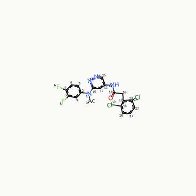 CC(=O)N(c1ccc(F)c(F)c1)c1cc(NC(=O)Cc2c(Cl)cccc2Cl)cnn1